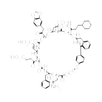 NC(=O)CN1C[C@H](Cc2ccccc2)NC(=O)CN(C(=O)CCC(=O)O)C[C@H](CCC(=O)O)NC(=O)CN(C(=O)Cc2ccc3c(c2)OCO3)C[C@H](CCC(=O)O)NC(=O)CN(C(=O)CCC2CCCCC2)C[C@H](Cc2ccccc2)NC(=O)c2ccc(cc2)SCCCC1=O